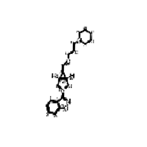 c1ccc2c(N3C[C@@H]4C(COCCCN5CCCCC5)[C@@H]4C3)noc2c1